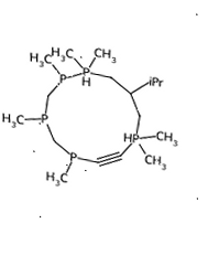 CC(C)C1C[PH](C)(C)C#CP(C)CP(C)CP(C)[PH](C)(C)C1